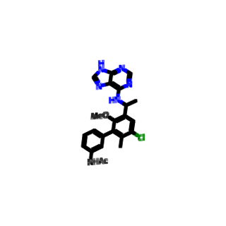 COc1c(C(C)Nc2ncnc3[nH]cnc23)cc(Cl)c(C)c1-c1cccc(NC(C)=O)c1